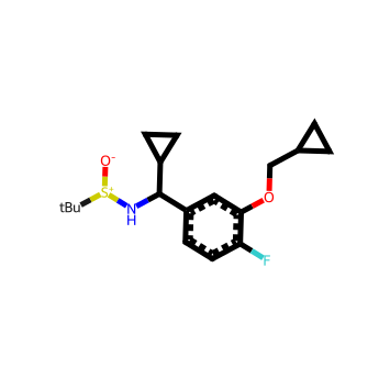 CC(C)(C)[S+]([O-])NC(c1ccc(F)c(OCC2CC2)c1)C1CC1